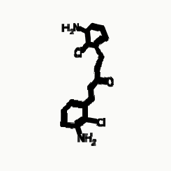 Nc1cccc(CCC(=O)CCc2cccc(N)c2Cl)c1Cl